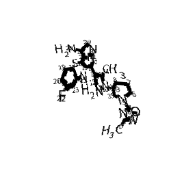 Cc1noc(N2CCC[C@H](n3ncc(-c4cc(Sc5ccc(F)cc5N)c5c(N)cnn5c4)c3C)C2)n1